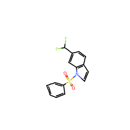 O=S(=O)(c1ccccc1)n1ccc2ccc(C(F)F)cc21